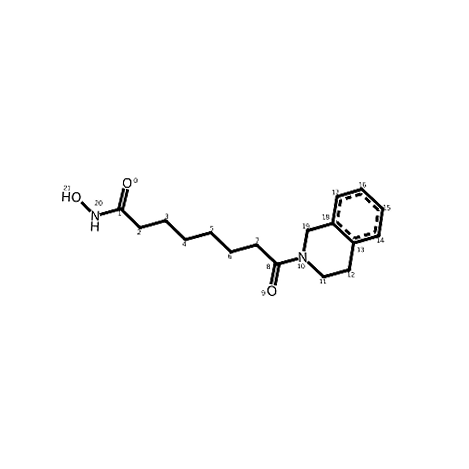 O=C(CCCCCCC(=O)N1CCc2ccccc2C1)NO